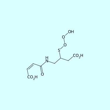 O=C(O)/C=C\C(=O)NCC(CC(=O)O)SOOO